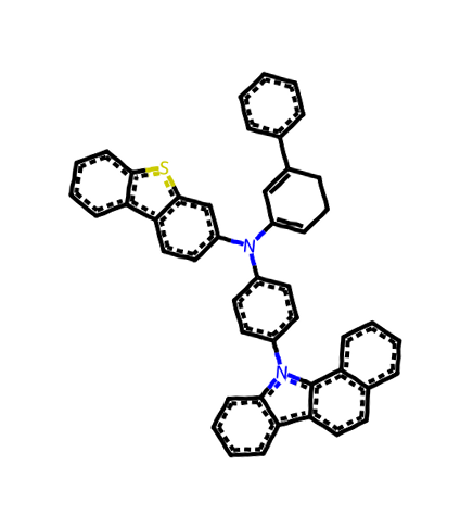 C1=C(c2ccccc2)CCC=C1N(c1ccc(-n2c3ccccc3c3ccc4ccccc4c32)cc1)c1ccc2c(c1)sc1ccccc12